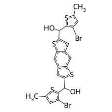 Cc1cc(Br)c(C(O)c2cc3cc4sc(C(O)c5sc(C)cc5Br)cc4cc3s2)s1